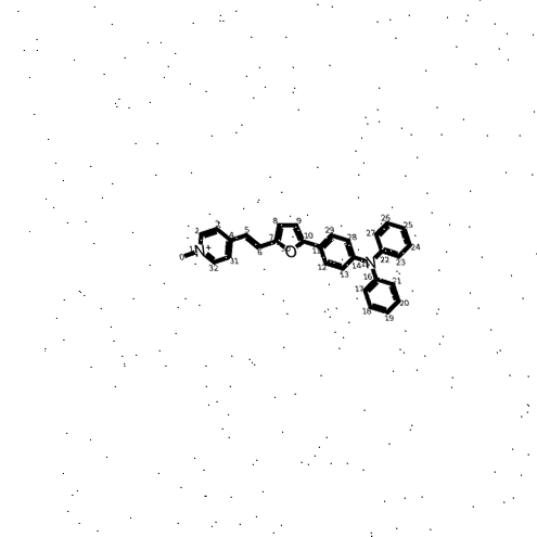 C[n+]1ccc(/C=C/c2ccc(-c3ccc(N(c4ccccc4)c4ccccc4)cc3)o2)cc1